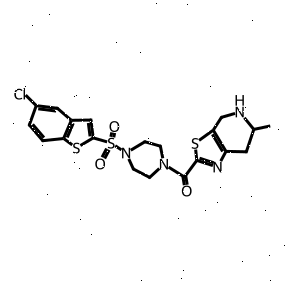 CC1Cc2nc(C(=O)N3CCN(S(=O)(=O)c4cc5cc(Cl)ccc5s4)CC3)sc2CN1